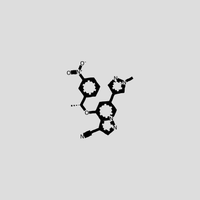 C[C@@H](Oc1cc(-c2cnn(C)c2)cn2ncc(C#N)c12)c1cccc([N+](=O)[O-])c1